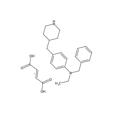 CCN(Cc1ccccc1)c1ccc(CC2CCNCC2)cc1.O=C(O)/C=C/C(=O)O